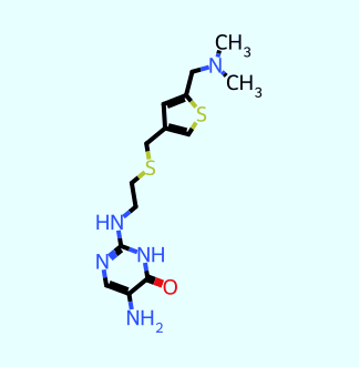 CN(C)Cc1cc(CSCCNc2ncc(N)c(=O)[nH]2)cs1